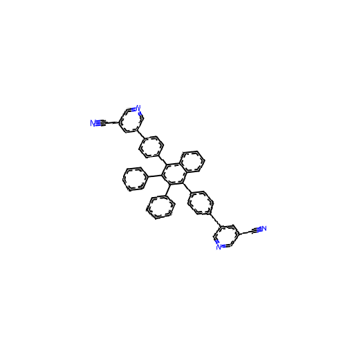 N#Cc1cncc(-c2ccc(-c3c(-c4ccccc4)c(-c4ccccc4)c(-c4ccc(-c5cncc(C#N)c5)cc4)c4ccccc34)cc2)c1